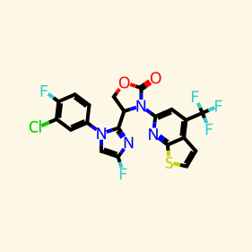 O=C1OCC(c2nc(F)cn2-c2ccc(F)c(Cl)c2)N1c1cc(C(F)(F)F)c2ccsc2n1